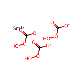 O=C([O-])OO.O=C([O-])OO.O=C([O-])OO.[Sm+3]